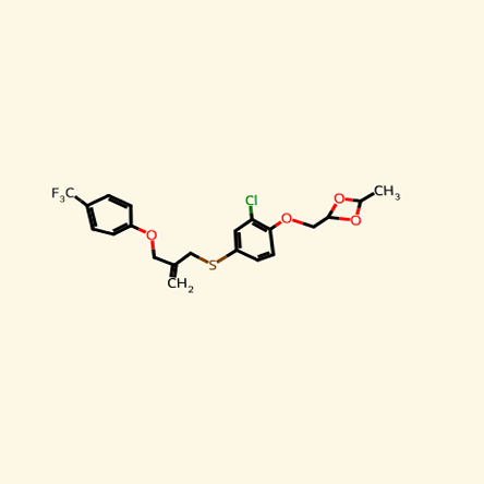 C=C(COc1ccc(C(F)(F)F)cc1)CSc1ccc(OCC2OC(C)O2)c(Cl)c1